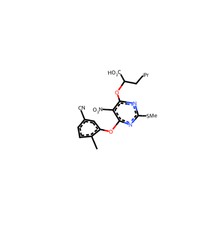 CSc1nc(Oc2cc(C#N)ccc2C)c([N+](=O)[O-])c(OC(CC(C)C)C(=O)O)n1